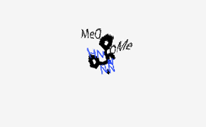 COc1ccc(OC)c(C2Nc3ccccc3-c3ncnn4ccc2c34)c1